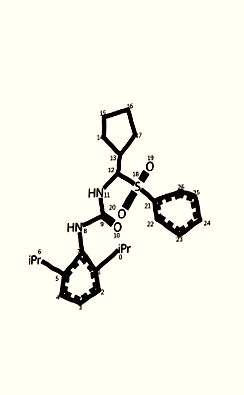 CC(C)c1cccc(C(C)C)c1NC(=O)NC(C1CCCC1)S(=O)(=O)c1ccccc1